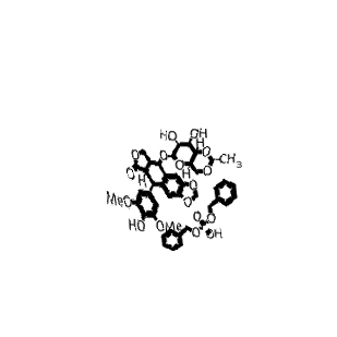 COc1cc([C@@H]2c3cc4c(cc3C(O[C@@H]3O[C@@H]5CO[C@@H](C)O[C@H]5[C@H](O)[C@H]3O)C3COC(=O)[C@@H]32)OCO4)cc(OC)c1O.O=P(O)(OCc1ccccc1)OCc1ccccc1